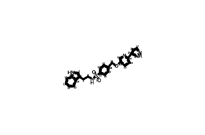 O=S(=O)(NCCc1c[nH]c2ccccc12)c1ccc(COc2ccc(-c3ccn[nH]3)nc2)cc1